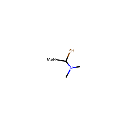 CNC(S)N(C)C